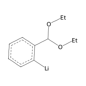 [Li][c]1ccccc1C(OCC)OCC